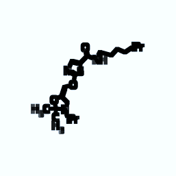 CC(C)CCCCNC(=O)c1cnc(OC=C2CN(C(C)C)C(C)(C)O2)s1